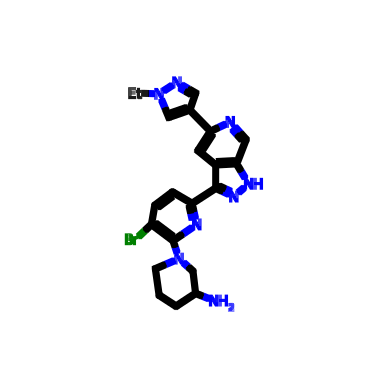 CCn1cc(-c2cc3c(-c4ccc(Br)c(N5CCCC(N)C5)n4)n[nH]c3cn2)cn1